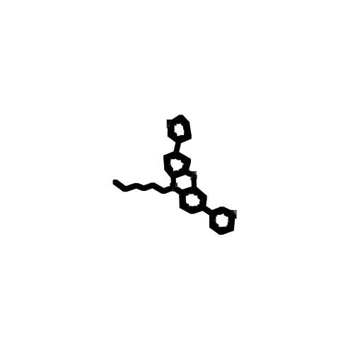 CCCCCCN1c2ccc(-c3cccnc3)cc2Sc2cc(-c3cccnc3)ccc21